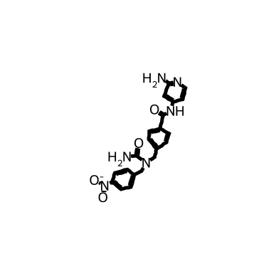 NC(=O)N(Cc1ccc(C(=O)Nc2ccnc(N)c2)cc1)Cc1ccc([N+](=O)[O-])cc1